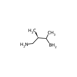 BC(C)[C@H](C)CN